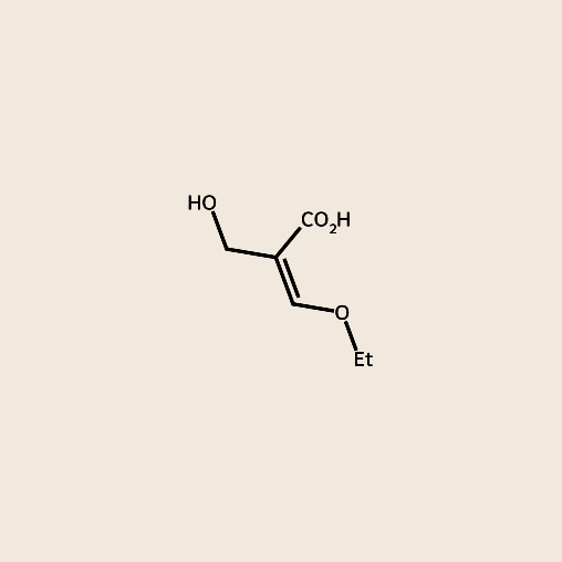 CCO/C=C(/CO)C(=O)O